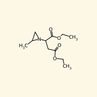 CCOC(=O)CC(C(=O)OCC)N1CC1C